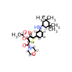 CC(=O)Oc1c(C(=O)N2CCOCC2)sc(-c2cccc(NC3CC(C)(C)CC(C)(C)C3)c2)c1Br